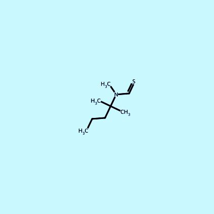 CCCC(C)(C)N(C)C=S